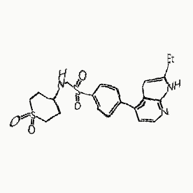 CCc1cc2c(-c3ccc(S(=O)(=O)NC4CCS(=O)(=O)CC4)cc3)ccnc2[nH]1